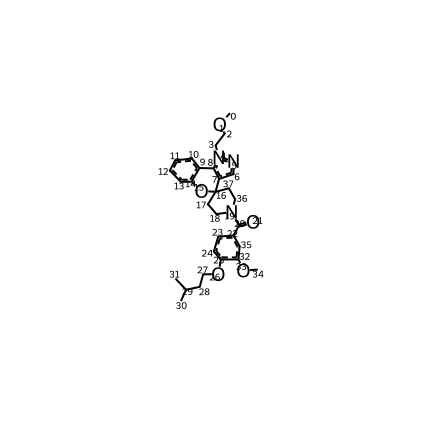 COCCn1ncc2c1-c1ccccc1OC21CCN(C(=O)c2ccc(OCCC(C)C)c(OC)c2)CC1